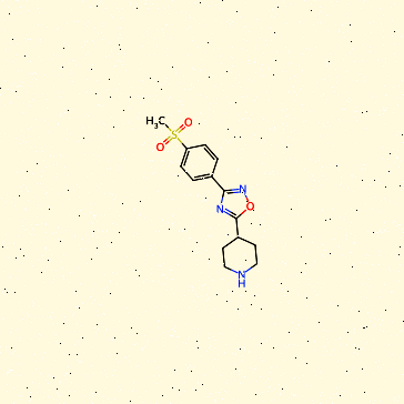 CS(=O)(=O)c1ccc(-c2noc(C3CCNCC3)n2)cc1